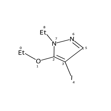 CCOc1c(I)[c]nn1CC